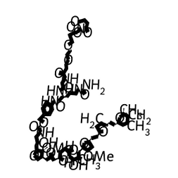 C=C1C[C@H](CC[C@@H]2C[C@@H](OC)[C@@H](C3O[C@H]4CC[C@H](CC(=O)C[C@H]5COC(C[C@H](O)CNC(=O)OCc6ccc(NC(=O)[C@H](CCCNC(N)=O)NC(=O)CNC(=O)CCOCCOCCC(=O)ON7C(=O)CCC7=O)cc6)[C@@H]5OC)O[C@@H]4[C@H](O)C3C)O2)O[C@H]1CC[C@H]1C[C@@H](C)C(=C)[C@@H](C)O1